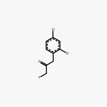 O=C(CF)Cc1ccc(Cl)cc1Cl